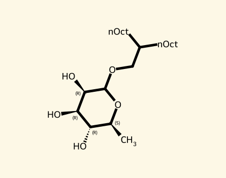 CCCCCCCCC(CCCCCCCC)COC1O[C@@H](C)[C@H](O)[C@@H](O)[C@H]1O